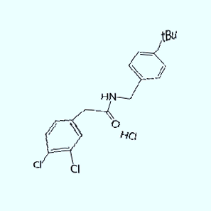 CC(C)(C)c1ccc(CNC(=O)Cc2ccc(Cl)c(Cl)c2)cc1.Cl